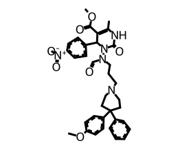 COC(=O)C1=C(C)NC(=O)N(N(C=O)CCCN2CCC(c3ccccc3)(c3ccc(OC)cc3)CC2)C1c1ccc([N+](=O)[O-])cc1